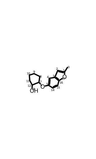 Cc1cc2cc(OC3CCCCC3O)ccc2o1